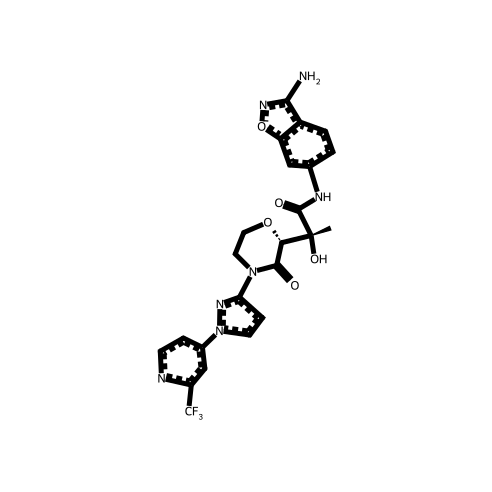 C[C@](O)(C(=O)Nc1ccc2c(N)noc2c1)[C@H]1OCCN(c2ccn(-c3ccnc(C(F)(F)F)c3)n2)C1=O